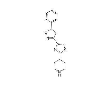 [c]1ccccc1C1CC(c2csc(C3CCNCC3)n2)=NO1